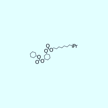 CC(C)CCCCCCCOC(=O)OC1CCCC(OC(=O)OC2CCCCC2)C1